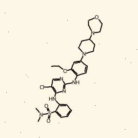 CCOc1cc(N2CCC(N3CCOCC3)CC2)ccc1Nc1ncc(Cl)c(Nc2ccccc2S(=O)(=O)N(C)C)n1